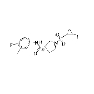 CCC1CC1S(=O)(=O)N1CC[C@H](C(=O)Nc2ccc(F)c(C)c2)C1